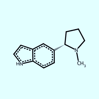 CN1CCC[C@H]1c1ccc2[nH]ccc2c1